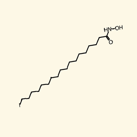 O=C(CCCCCCCCCCCCCCCCCI)NO